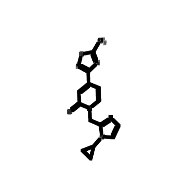 O=c1cc(-c2noc(C(F)(F)F)n2)ccn1Cc1nccn1C1CC1